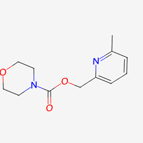 Cc1cccc(COC(=O)N2CCOCC2)n1